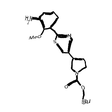 COc1c(N)cccc1-c1ncc(C2=CCN(C(=O)OC(C)(C)C)C2)cn1